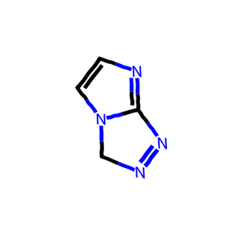 c1cn2c(n1)N=NC2